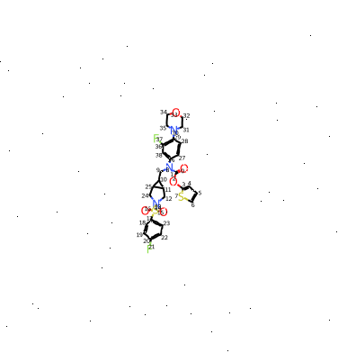 O=C(Oc1cccs1)N(CC1C2CN(S(=O)(=O)c3ccc(F)cc3)CC12)c1ccc(N2CCOCC2)c(F)c1